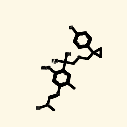 CCN(C)C=Nc1cc(OC)c(C(O)(COCC2(c3ccc(Cl)cc3)CC2)C(F)(F)F)cc1C